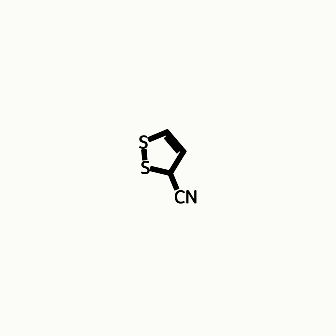 N#CC1C=CSS1